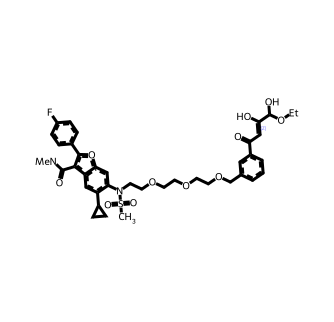 CCOC(O)/C(O)=C/C(=O)c1cccc(COCCOCCOCCN(c2cc3oc(-c4ccc(F)cc4)c(C(=O)NC)c3cc2C2CC2)S(C)(=O)=O)c1